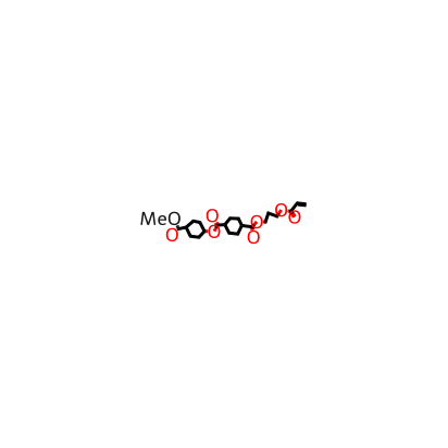 C=CC(=O)OCCCOC(=O)C1CCC(C(=O)OC2CCC(C(=O)OC)CC2)CC1